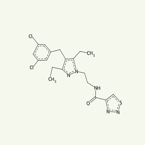 CCc1nn(CCNC(=O)c2csnn2)c(CC)c1Cc1cc(Cl)cc(Cl)c1